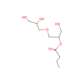 CCCC(=O)OC(CO)COCC(O)CO